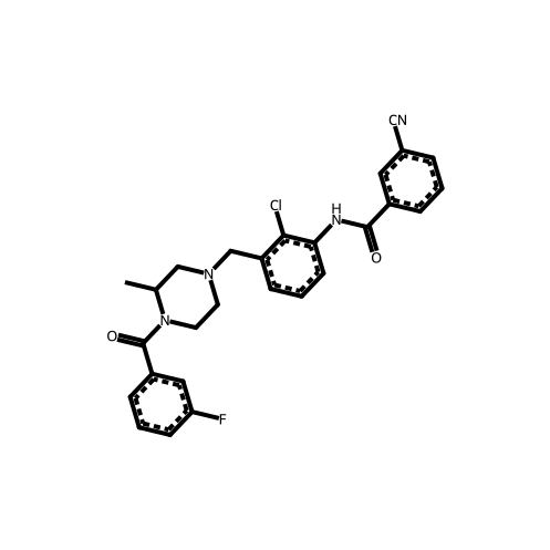 CC1CN(Cc2cccc(NC(=O)c3cccc(C#N)c3)c2Cl)CCN1C(=O)c1cccc(F)c1